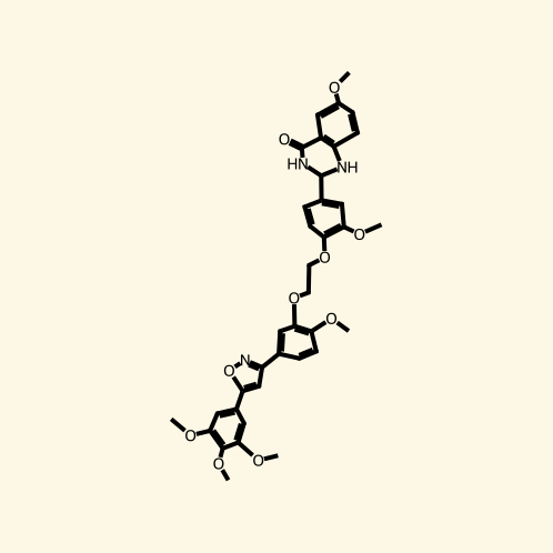 COc1ccc2c(c1)C(=O)NC(c1ccc(OCCOc3cc(-c4cc(-c5cc(OC)c(OC)c(OC)c5)on4)ccc3OC)c(OC)c1)N2